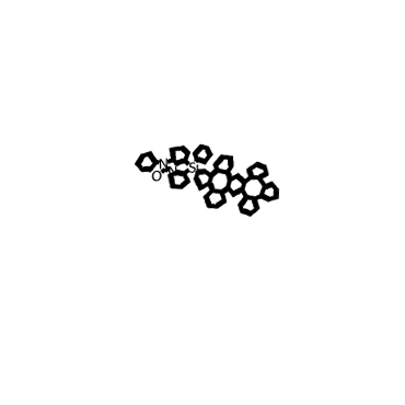 c1ccc([Si](c2ccccc2)(c2ccc3c4ccccc4c4cc5c6ccccc6c6ccccc6c6ccccc6c5cc4c4ccccc4c3c2)c2cccc3c2nc2oc4ccccc4n23)cc1